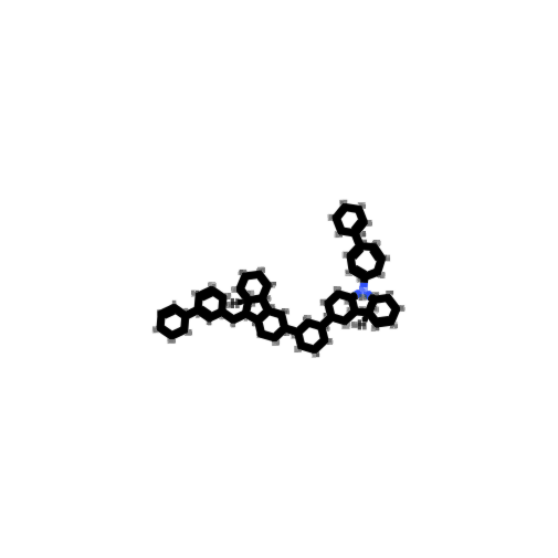 C1=CC(C2=CC(CC3C4CCC(C5CCCC(C6CCC7C(C6)[C@H]6C=CCCC6N7C6=CC=C(C7=CCCCC7)C=CC6)C5)CC4C4CCCC[C@H]43)CC=C2)CCC1